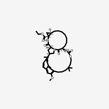 CCOC(=O)[C@@]12C[C@H]1CCCCCCC[C@@H]1NC(=O)OCCC(C)(C)CCCc3cc4cc(ccc4cc3OC)[C@]3(OC)C[C@@H](C(=O)N2)N(C3)C1=O